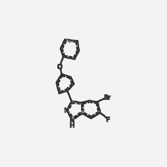 Fc1cc2[nH]nc(-c3ccc(Oc4ccccc4)cc3)c2cc1Br